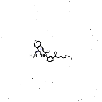 CCCCC(=O)c1cccc(NC(=O)/C=C/C2=C(C(/C=N)=C/N)C=CN=CC2)c1